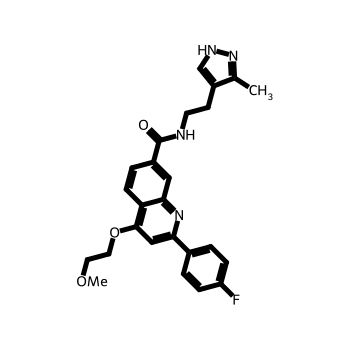 COCCOc1cc(-c2ccc(F)cc2)nc2cc(C(=O)NCCc3c[nH]nc3C)ccc12